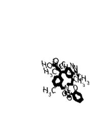 CCC1CN(Cc2cc(C(c3ccc4c(nnn4C)c3C)C(C)(C)C(=O)O)ccc2C)S(=O)(=O)c2ccccc2O1